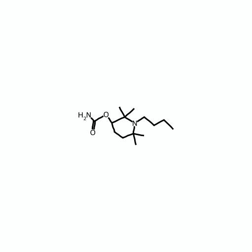 CCCCN1C(C)(C)CCC(OC(N)=O)C1(C)C